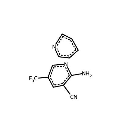 N#Cc1cc(C(F)(F)F)cnc1N.c1ccncc1